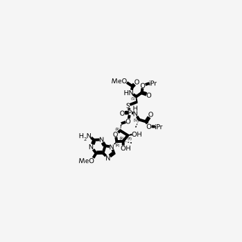 COC(=O)N[C@H](CSP(=O)(N[C@@H](C)C(=O)OC(C)C)OC[C@H]1O[C@@H](n2cnc3c(OC)nc(N)nc32)[C@](C)(O)[C@@H]1O)C(=O)OC(C)C